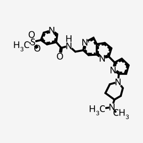 CN(C)C1CCN(c2cccc(-c3ccc4cnc(CNC(=O)c5cncc(S(C)(=O)=O)c5)cc4n3)n2)CC1